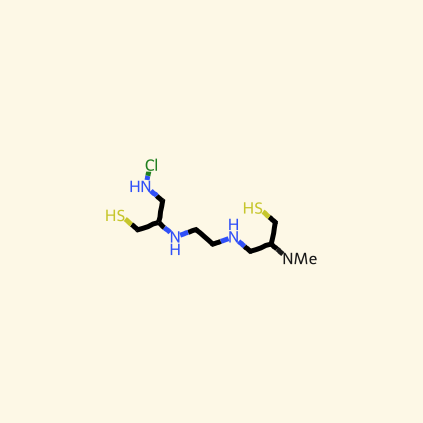 CNC(CS)CNCCNC(CS)CNCl